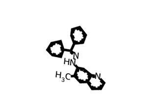 Cc1cc2cccnc2cc1NN=C(c1ccccc1)c1ccccc1